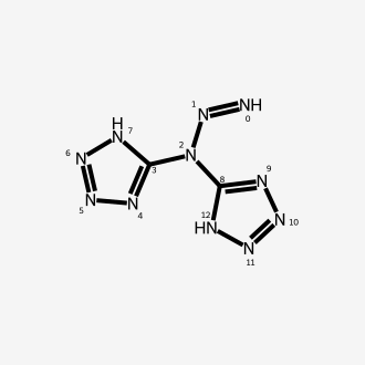 N=NN(c1nnn[nH]1)c1nnn[nH]1